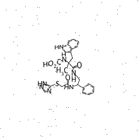 CC(Cc1c[nH]c2ccccc12)(NC(=O)O)C(=O)NCC(NC(=O)CSc1ncn[nH]1)c1ccccc1